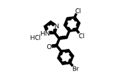 Cl.O=C(/C(=C/c1ccc(Cl)cc1Cl)c1ncc[nH]1)c1ccc(Br)cc1